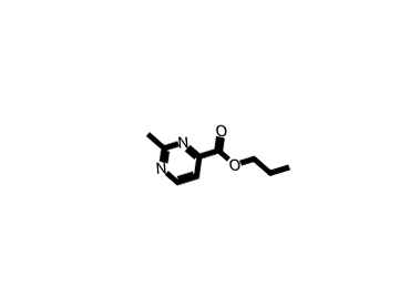 CCCOC(=O)c1ccnc(C)n1